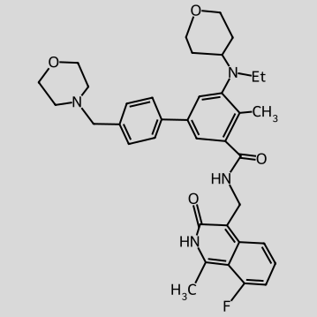 CCN(c1cc(-c2ccc(CN3CCOCC3)cc2)cc(C(=O)NCc2c(=O)[nH]c(C)c3c(F)cccc23)c1C)C1CCOCC1